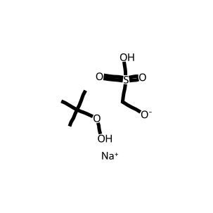 CC(C)(C)OO.O=S(=O)(O)C[O-].[Na+]